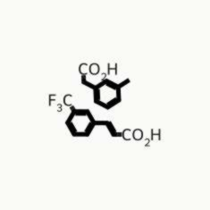 Cc1cccc(CC(=O)O)c1.O=C(O)C=Cc1cccc(C(F)(F)F)c1